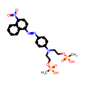 CP(=O)(O)OCCN(CCOP(C)(=O)O)c1ccc(/N=N/c2ccc([N+](=O)[O-])c3ccccc23)cc1